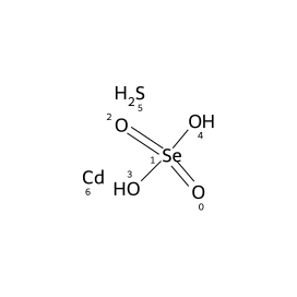 O=[Se](=O)(O)O.S.[Cd]